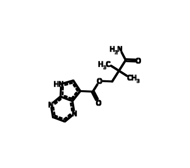 CC(C)(COC(=O)c1c[nH]c2nccnc12)C(N)=O